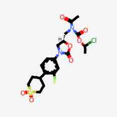 CC(=O)N(C[C@H]1CN(c2ccc(C3CCS(=O)(=O)CC3)c(F)c2)C(=O)O1)C(=O)OC(C)Cl